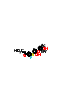 CCCc1c(OC2CCCC(Sc3ccc(C(=O)CCC(=O)O)cc3F)C2O)ccc(C(C)=O)c1O